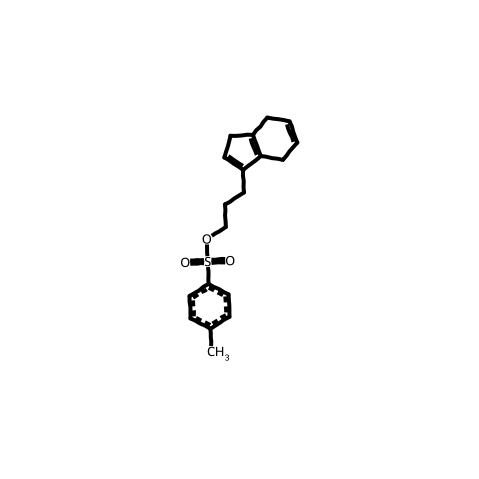 Cc1ccc(S(=O)(=O)OCCCC2=CCC3=C2CC=CC3)cc1